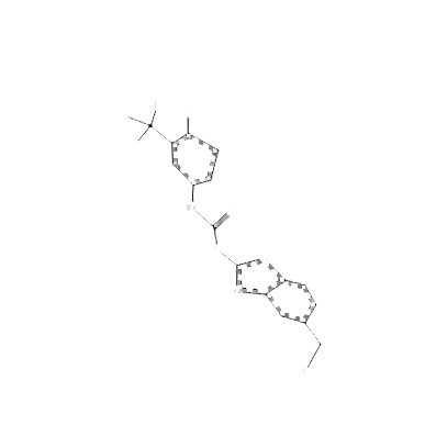 O=C(Nc1ccc(Cl)c(C(F)(F)F)c1)Nc1nc2cc(CBr)ccc2s1